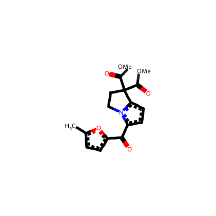 COC(=O)C1(C(=O)OC)CCn2c(C(=O)c3ccc(C)o3)ccc21